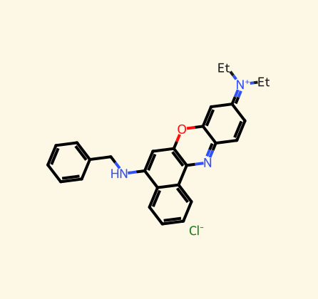 CC[N+](CC)=c1ccc2nc3c(cc(NCc4ccccc4)c4ccccc43)oc-2c1.[Cl-]